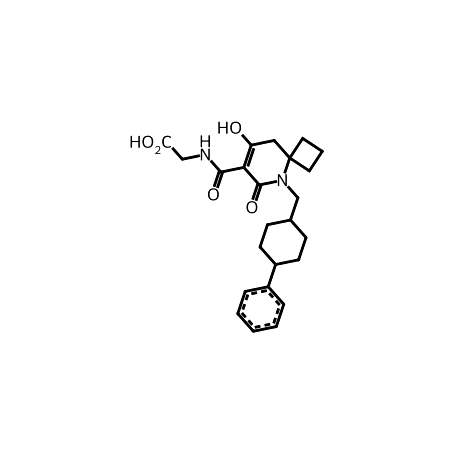 O=C(O)CNC(=O)C1=C(O)CC2(CCC2)N(CC2CCC(c3ccccc3)CC2)C1=O